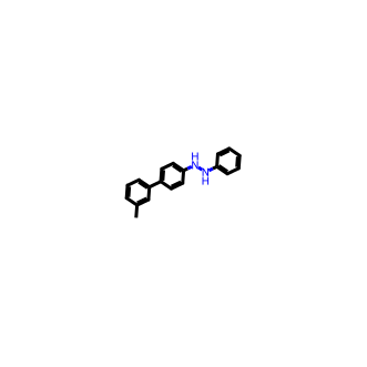 Cc1cccc(-c2ccc(NNc3ccccc3)cc2)c1